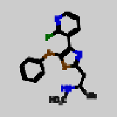 CC(C)(C)C(Cc1nc(-c2cccnc2F)c(Sc2ccccc2)s1)NC(=O)O